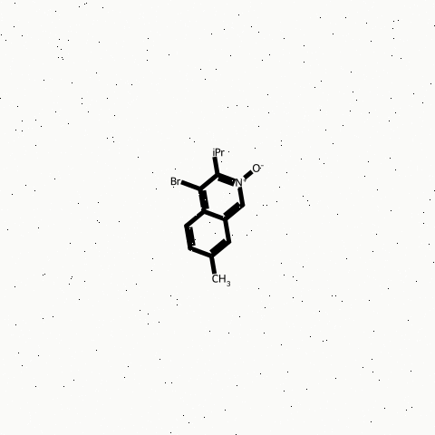 Cc1ccc2c(Br)c(C(C)C)[n+]([O-])cc2c1